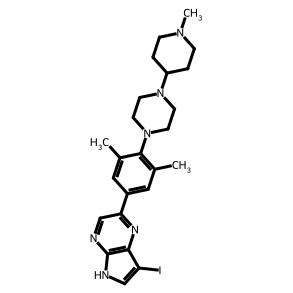 Cc1cc(-c2cnc3[nH]cc(I)c3n2)cc(C)c1N1CCN(C2CCN(C)CC2)CC1